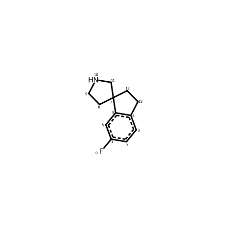 Fc1ccc2c(c1)C1(CCNC1)CC2